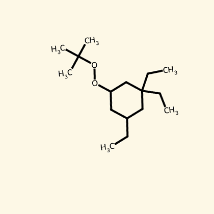 CCC1CC(OOC(C)(C)C)CC(CC)(CC)C1